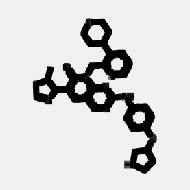 CC1SC=NC1c1cc2cnc(Nc3ccc(OC4CCNC4)cc3)nc2n(Cc2ncccc2C2CCOCC2)c1=O